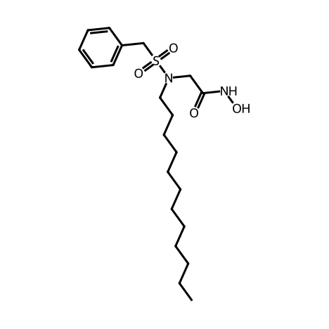 CCCCCCCCCCCCN(CC(=O)NO)S(=O)(=O)Cc1ccccc1